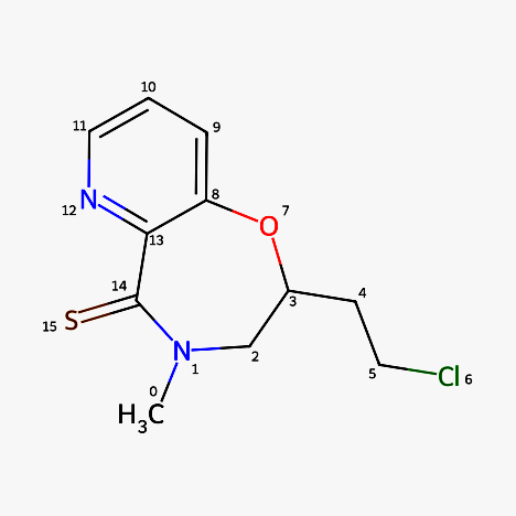 CN1CC(CCCl)Oc2cccnc2C1=S